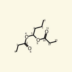 CCCC(OC(=O)CC)OC(=O)CC